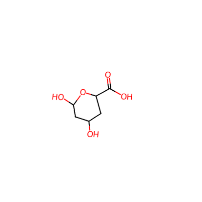 O=C(O)C1CC(O)CC(O)O1